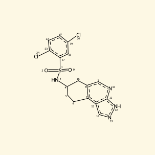 O=S(=O)(NC1CCc2c(cnc3[nH]ncc23)C1)c1cc(Cl)ccc1Cl